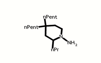 CCCCCC1(CCCCC)CCN(N)C(CCC)C1